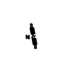 [B]#[Zr]#[B].[Ni]